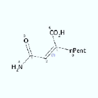 CCCCC/C(=C/C(N)=O)C(=O)O